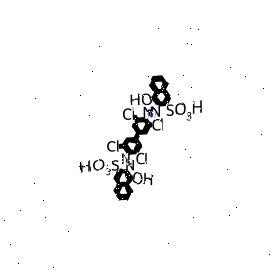 O=S(=O)(O)c1cc2ccccc2c(O)c1/N=N/c1c(Cl)cc(-c2cc(Cl)c(/N=N/c3c(S(=O)(=O)O)cc4ccccc4c3O)c(Cl)c2)cc1Cl